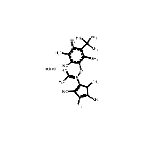 CC1=C(C)C(C)[C]([Ti]([O]c2c(C)c(C)c(C)c(C(C)(C)C)c2[SiH3])=[C](C)C)=C1C.Cl.Cl